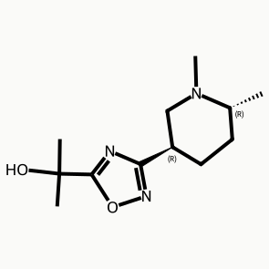 C[C@@H]1CC[C@@H](c2noc(C(C)(C)O)n2)CN1C